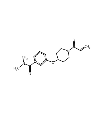 C=CC(=O)N1CCC(Oc2cccc(C(=O)N(C)C)c2)CC1